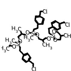 CCO[Si](C)(CCc1ccc(CCl)cc1)OCC(C)CO[Si](C)(CCc1ccc(CCl)cc1)OCC(C)CO[Si]1(CCc2ccc(CCl)cc2)OCC(C)CO1